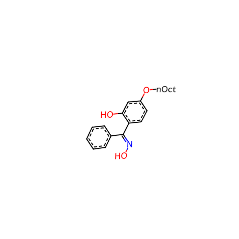 CCCCCCCCOc1ccc(C(=NO)c2ccccc2)c(O)c1